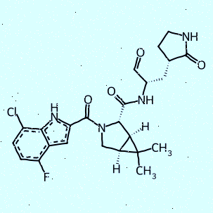 CC1(C)[C@@H]2[C@@H](C(=O)N[C@H](C=O)C[C@@H]3CCNC3=O)N(C(=O)c3cc4c(F)ccc(Cl)c4[nH]3)C[C@@H]21